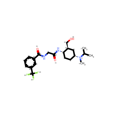 CC(C)N(C)[C@@H]1CC[C@H](NC(=O)CNC(=O)c2cccc(C(F)(F)F)c2)[C@@H](CO)C1